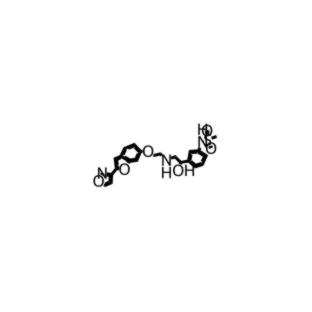 CS(=O)(=O)Nc1cccc(C(O)CNCCOc2ccc3cc(-c4ccon4)oc3c2)c1